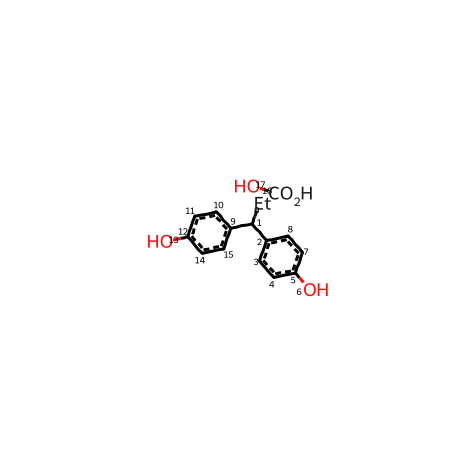 CCC(c1ccc(O)cc1)c1ccc(O)cc1.O=C(O)O